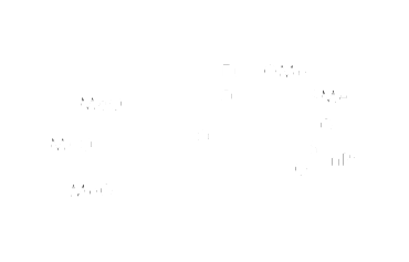 CCCS(=O)(=O)c1cc(C2CCC(c3cc(OC)c(OC)c(OC)c3)O2)c(OCC)c(OC)c1SC